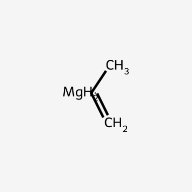 C=[C]C.[MgH2]